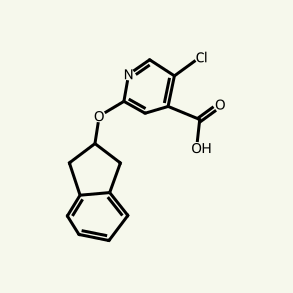 O=C(O)c1cc(OC2Cc3ccccc3C2)ncc1Cl